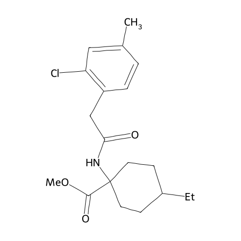 CCC1CCC(NC(=O)Cc2ccc(C)cc2Cl)(C(=O)OC)CC1